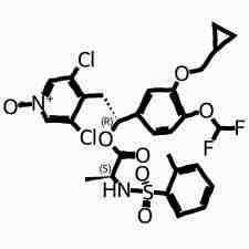 Cc1ccccc1S(=O)(=O)N[C@@H](C)C(=O)O[C@H](Cc1c(Cl)c[n+]([O-])cc1Cl)c1ccc(OC(F)F)c(OCC2CC2)c1